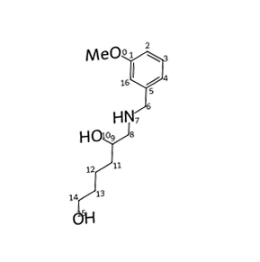 COc1cccc(CNCC(O)CCCCO)c1